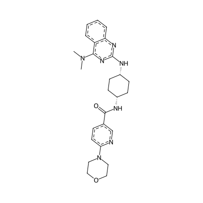 CN(C)c1nc(N[C@H]2CC[C@@H](NC(=O)c3ccc(N4CCOCC4)nc3)CC2)nc2ccccc12